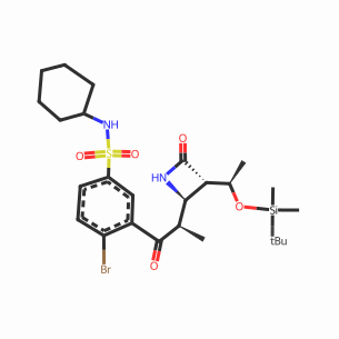 C[C@@H](O[Si](C)(C)C(C)(C)C)[C@H]1C(=O)N[C@@H]1[C@@H](C)C(=O)c1cc(S(=O)(=O)NC2CCCCC2)ccc1Br